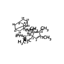 CC1=C[C](C)([Ti]([NH]C23CC4CC(CC(C4)C2)C3)=[Si](C)C(C)C)C(C)=C1C